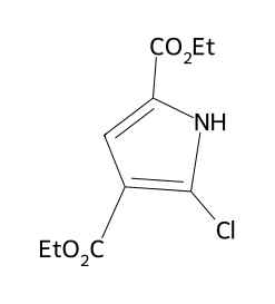 CCOC(=O)c1cc(C(=O)OCC)c(Cl)[nH]1